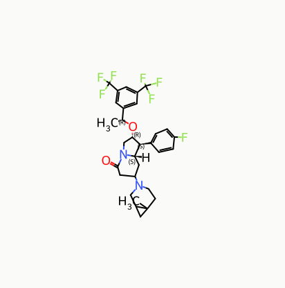 C[C@@H](O[C@H]1CN2C(=O)CC(N3CCC4(C)CC4C3)C[C@H]2[C@@H]1c1ccc(F)cc1)c1cc(C(F)(F)F)cc(C(F)(F)F)c1